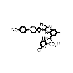 Cc1cc([C@@H](C)Nc2ccc(Cl)nc2C(=O)O)c2nc(N3CC4(CCN(c5ccc(C#N)cc5)CC4)C3)c(C#N)nc2c1